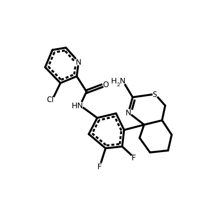 NC1=NC2(c3cc(NC(=O)c4ncccc4Cl)cc(F)c3F)CCCCC2CS1